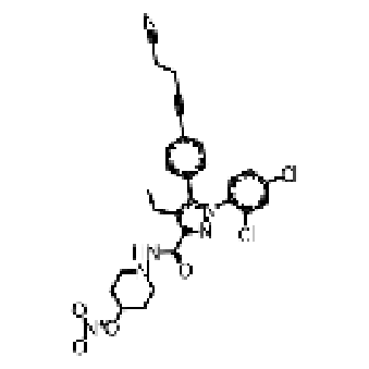 CCc1c(C(=O)NN2CCC(O[N+](=O)[O-])CC2)nn(-c2ccc(Cl)cc2Cl)c1-c1ccc(C#CCCC#N)cc1